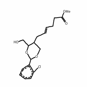 COC(=O)CCC=CCC1COC(c2ccccc2Cl)OC1CO